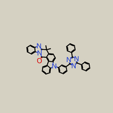 CC1(C)c2ccc3c(c2C(=O)n2c1nc1ccccc12)c1ccccc1n3-c1cccc(-c2nc(-c3ccccc3)nc(-c3ccccc3)n2)c1